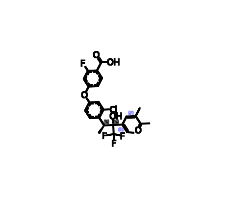 C/C=C(\C=C(\C)C(C)=O)[C@@](O)([C@@H](C)c1ccc(Oc2ccc(C(=O)O)c(F)c2)cc1Cl)C(F)(F)F